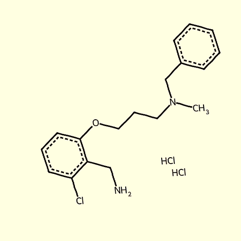 CN(CCCOc1cccc(Cl)c1CN)Cc1ccccc1.Cl.Cl